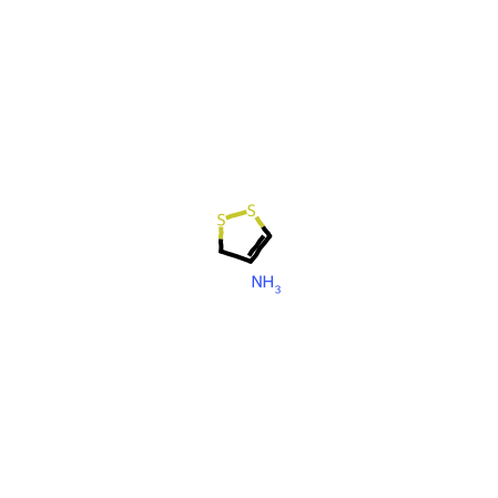 C1=CSSC1.N